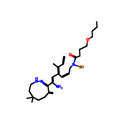 C=C/C(C)=C(\C=C/CN(S)C(=O)CCCOCCCC)/C=C(N)/C1=N/NCCC(C)(C)CCC1=C